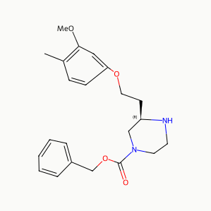 COc1cc(OCC[C@@H]2CN(C(=O)OCc3ccccc3)CCN2)ccc1C